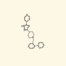 [c]1cccc(CN2CCC(c3n[nH]c(-c4ccncc4)n3)CC2)c1-c1ccccc1